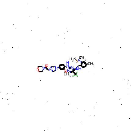 COc1cc(N2CCN(CC(=O)N3CCOCC3)CC2)ccc1Nc1ncc(C(F)(F)F)c(NCc2ccc(C)cc2N(C)SC)n1